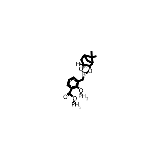 CC1(C)C2CC1C1OB(Cc3cccc(C(=O)OP)c3OP)O[C@@H]1C2